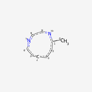 Cc1cccccnccn1